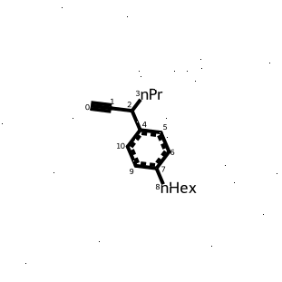 [C]#CC(CCC)c1ccc(CCCCCC)cc1